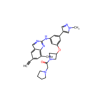 C#Cc1cc(OC)c2nc(Nc3cc(OC4CN(C(=O)CN5CCCC5)C4)cc(-c4cnn(C)c4)c3)ncc2c1